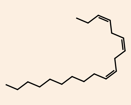 CC/C=C\C/C=C\C/C=C\CCCCCCCCC